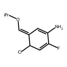 CC(C)OC=C1C=C(N)C(F)=CC1Cl